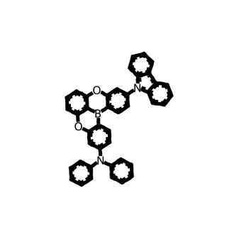 c1ccc(N(c2ccccc2)c2ccc3c(c2)Oc2cccc4c2B3c2ccc(-n3c5ccccc5c5ccccc53)cc2O4)cc1